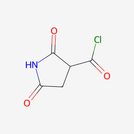 O=C1CC(C(=O)Cl)C(=O)N1